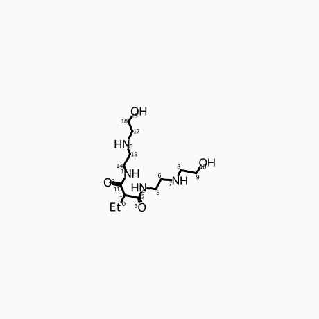 CCC(C(=O)NCCNCCO)C(=O)NCCNCCO